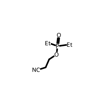 CCP(=O)(CC)OCCC#N